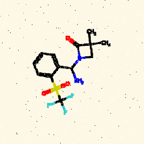 CC1(C)CN(C(N)c2ccccc2S(=O)(=O)C(F)(F)F)C1=O